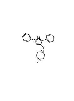 CN1CCN(Cc2cn(-c3ccccc3)nc2-c2ccccc2)CC1